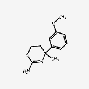 COc1cccc(C2(C)CCSC(N)=N2)c1